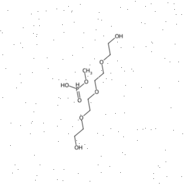 CO[PH](=O)O.OCCOCCOCCOCCO